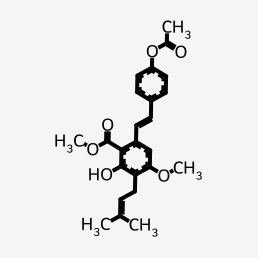 COC(=O)c1c(/C=C/c2ccc(OC(C)=O)cc2)cc(OC)c(CC=C(C)C)c1O